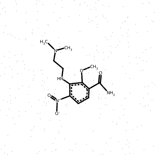 COc1c(C(N)=O)ccc([N+](=O)[O-])c1NCCN(C)C